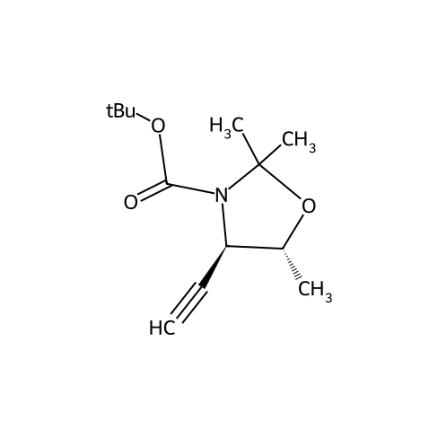 C#C[C@@H]1[C@@H](C)OC(C)(C)N1C(=O)OC(C)(C)C